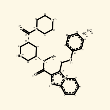 CCCN(C(=O)c1nc2ccccn2c1COc1ccccc1)[C@@H]1CNC[C@H](C(=O)N2CCOCC2)C1.Cl.Cl